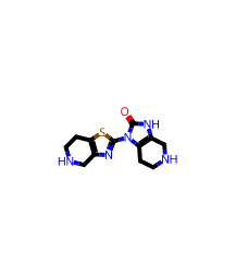 O=c1[nH]c2c(n1-c1nc3c(s1)CCNC3)CCNC2